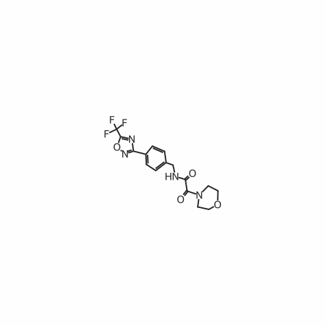 O=C(NCc1ccc(-c2noc(C(F)(F)F)n2)cc1)C(=O)N1CCOCC1